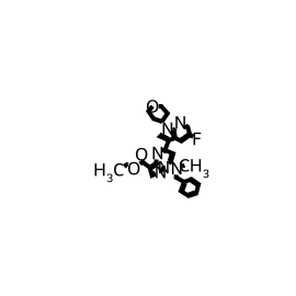 CCOC(=O)c1cnn2c(N(C)Cc3ccccc3)cc(-c3cn(C4CCOCC4)c4ncc(F)cc34)nc12